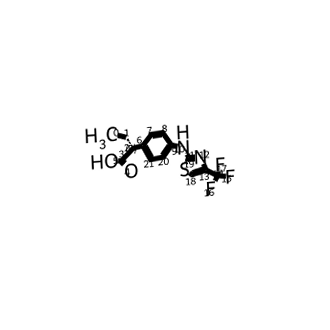 CC[C@@H](C(=O)O)c1ccc(Nc2nc(C(F)(F)F)cs2)cc1